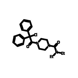 CCN(CC)C(=O)N1CCN(C(=O)C(Cl)(c2ccccc2)c2ccccc2)CC1